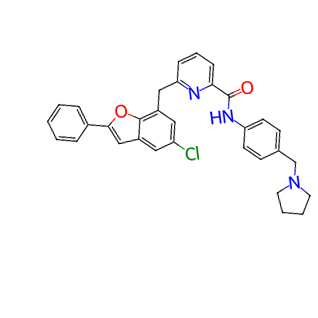 O=C(Nc1ccc(CN2CCCC2)cc1)c1cccc(Cc2cc(Cl)cc3cc(-c4ccccc4)oc23)n1